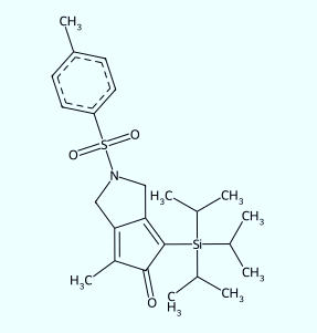 CC1=C2CN(S(=O)(=O)c3ccc(C)cc3)CC2=C([Si](C(C)C)(C(C)C)C(C)C)C1=O